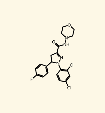 O=C(NN1CCOCC1)C1=NN(c2ccc(Cl)cc2Cl)C(c2ccc(F)cc2)C1